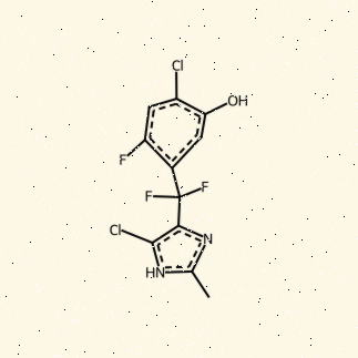 Cc1nc(C(F)(F)c2cc(O)c(Cl)cc2F)c(Cl)[nH]1